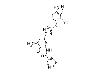 Cn1cc(-c2nsc(Nc3ccc4[nH]ncc4c3Cl)n2)cc(NC(=O)c2cnccn2)c1=O